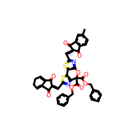 Cc1ccc2c(c1)C(=O)/C(=C/c1nc3c(s1)-c1sc(C=C4C(=O)C5=CCCC=C5C4=O)nc1C(C(=O)OCc1ccccc1)(C(=O)OCc1ccccc1)O3)C2=O